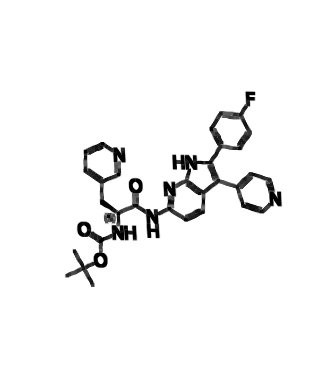 CC(C)(C)OC(=O)N[C@@H](Cc1cccnc1)C(=O)Nc1ccc2c(-c3ccncc3)c(-c3ccc(F)cc3)[nH]c2n1